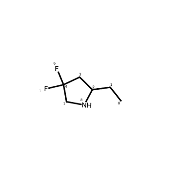 CCC1CC(F)(F)CN1